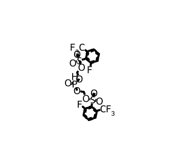 O=[PH](OCOS(=O)(=O)c1c(F)cccc1C(F)(F)F)OCOS(=O)(=O)c1c(F)cccc1C(F)(F)F